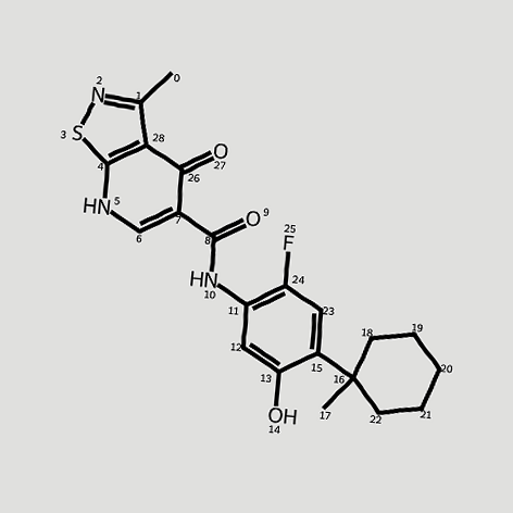 Cc1nsc2[nH]cc(C(=O)Nc3cc(O)c(C4(C)CCCCC4)cc3F)c(=O)c12